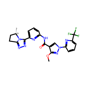 COc1nn(-c2cccc(C(F)(F)F)n2)cc1C(=O)Nc1cccc(-c2nnc3n2[C@@H](C)CC3)n1